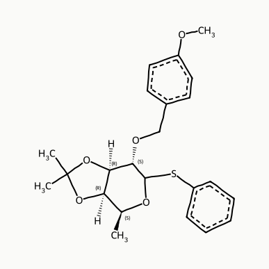 COc1ccc(CO[C@@H]2C(Sc3ccccc3)O[C@@H](C)[C@H]3OC(C)(C)O[C@H]32)cc1